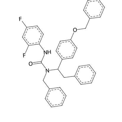 O=C(Nc1ccc(F)cc1F)N(Cc1ccccc1)C(Cc1ccccc1)c1ccc(OCc2ccccc2)cc1